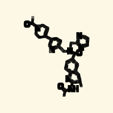 CC(=O)Nc1nc2ccc(C(=O)N(Cc3ccc(C4=CCN(C(C)=O)CC4)cn3)Cc3ncccn3)cc2cc1C